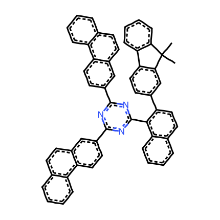 CC1(C)c2ccccc2-c2ccc(-c3ccc4ccccc4c3-c3nc(-c4ccc5c(ccc6ccccc65)c4)nc(-c4ccc5c(ccc6ccccc65)c4)n3)cc21